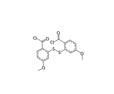 COc1ccc(C(=O)Cl)c(SSc2cc(OC)ccc2C(=O)Cl)c1